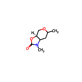 CC1CC2[C@H](CO1)OC(=O)N2C